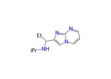 CCC(NC(C)C)c1cn2cccnc2n1